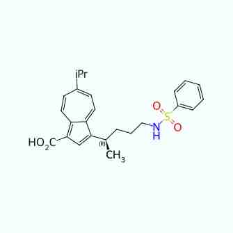 CC(C)c1ccc2c(C(=O)O)cc([C@H](C)CCCNS(=O)(=O)c3ccccc3)c-2cc1